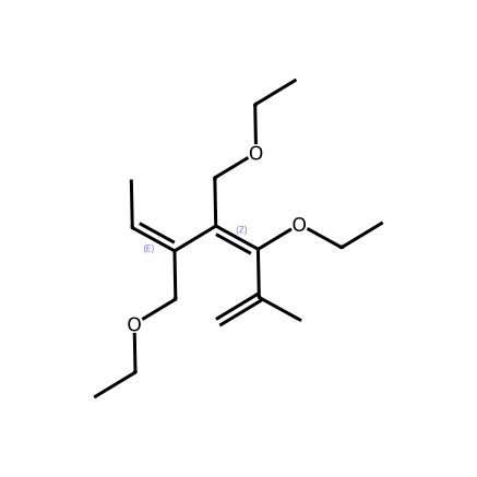 C=C(C)/C(OCC)=C(COCC)\C(=C/C)COCC